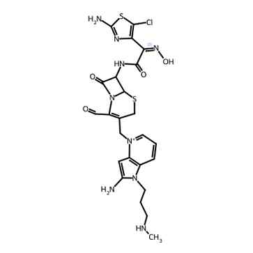 CNCCCn1c(N)cc2c1ccc[n+]2CC1=C(C=O)N2C(=O)C(NC(=O)/C(=N\O)c3nc(N)sc3Cl)C2SC1